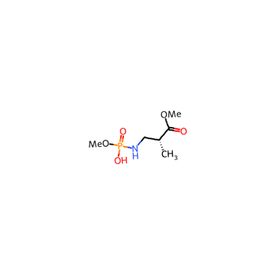 COC(=O)[C@H](C)CNP(=O)(O)OC